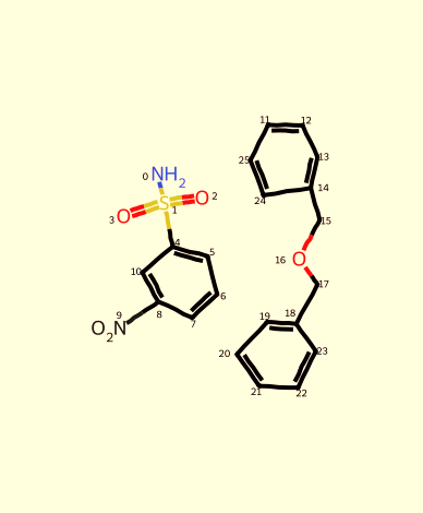 NS(=O)(=O)c1cccc([N+](=O)[O-])c1.c1ccc(COCc2ccccc2)cc1